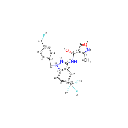 Cc1nocc1C(=O)Nc1nn(Cc2ccc(CF)cc2)c2ccc(C(F)(F)F)cc12